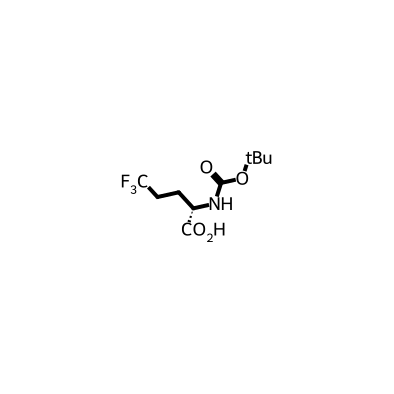 CC(C)(C)OC(=O)N[C@@H](CCC(F)(F)F)C(=O)O